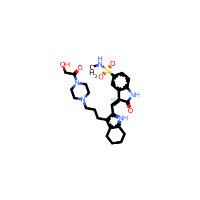 CNS(=O)(=O)c1ccc2c(c1)/C(=C/c1[nH]c3c(c1CCCN1CCN(C(=O)CO)CC1)CCCC3)C(=O)N2